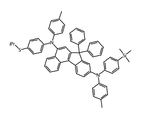 Cc1ccc(N(c2ccc([Si](C)(C)C)cc2)c2ccc3c(c2)C(c2ccccc2)(c2ccccc2)c2cc(N(c4ccc(C)cc4)c4ccc(SC(C)C)cc4)c4ccccc4c2-3)cc1